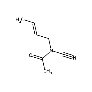 CC=CCN(C#N)C(C)=O